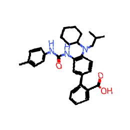 Cc1ccc(NC(=O)Nc2cc(-c3ccccc3C(=O)O)ccc2N(CC(C)C)C2CCCCC2)cc1